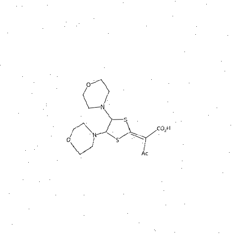 CC(=O)C(C(=O)O)=C1SC(N2CCOCC2)C(N2CCOCC2)S1